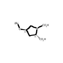 CC(C)(C)O[C@@H]1C[C@@H](C(=O)O)N(C(=O)O)C1